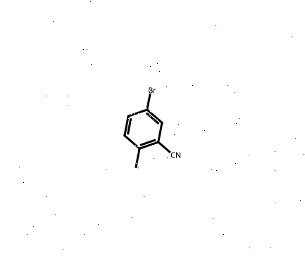 [CH2]c1ccc(Br)cc1C#N